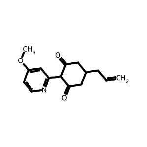 C=CCC1CC(=O)C(c2cc(OC)ccn2)C(=O)C1